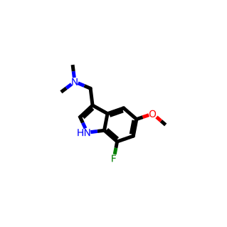 COc1cc(F)c2[nH]cc(CN(C)C)c2c1